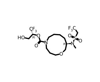 CN([C@@H]1CCCCN(C(=O)O[C@H](CO)C(F)(F)F)CCCOC1)S(=O)(=O)CC(F)(F)F